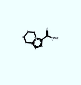 COC(=O)c1ccc2n1CCCC2